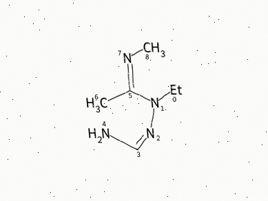 CCN(/N=C\N)/C(C)=N\C